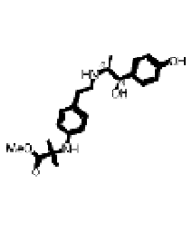 COC(=O)C(C)(C)Nc1ccc(CCN[C@@H](C)[C@@H](O)c2ccc(O)cc2)cc1